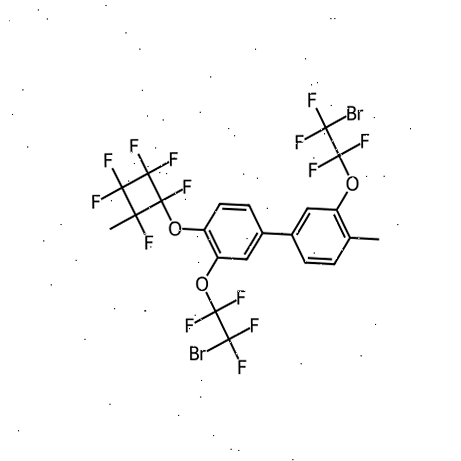 Cc1ccc(-c2ccc(OC3(F)C(C)(F)C(F)(F)C3(F)F)c(OC(F)(F)C(F)(F)Br)c2)cc1OC(F)(F)C(F)(F)Br